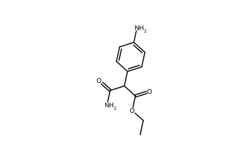 CCOC(=O)C(C(N)=O)c1ccc(N)cc1